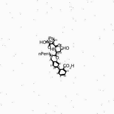 CCCCCN(Cc1ccc(-c2ccccc2C(=O)O)cc1)C(=O)C(CC=O)NC(=O)C(CC(C)C)C(=O)NO